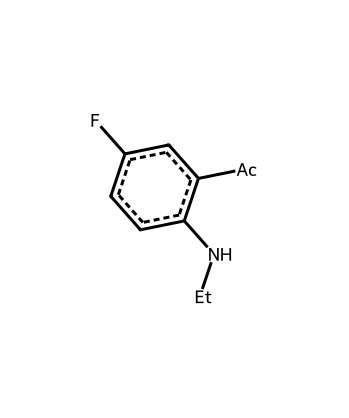 CCNc1ccc(F)cc1C(C)=O